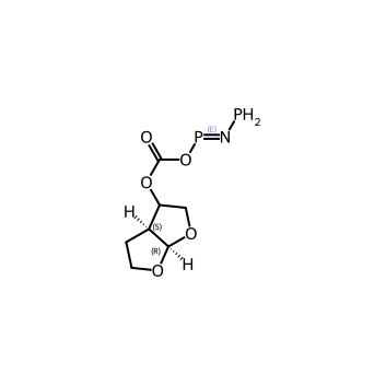 O=C(O/P=N/P)OC1CO[C@H]2OCC[C@@H]12